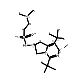 C[C@@H]1N=C(C(C)(C)C)N2C[C@@H](NS(=O)(=O)CCN(C)C)CC2=C1C(C)(C)C